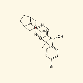 CC(C)(C)OC(=O)N1CC2CCC(C1)N2c1ncc(C(O)c2ccc(Br)cc2)cn1